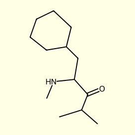 CNC(CC1CCCCC1)C(=O)C(C)C